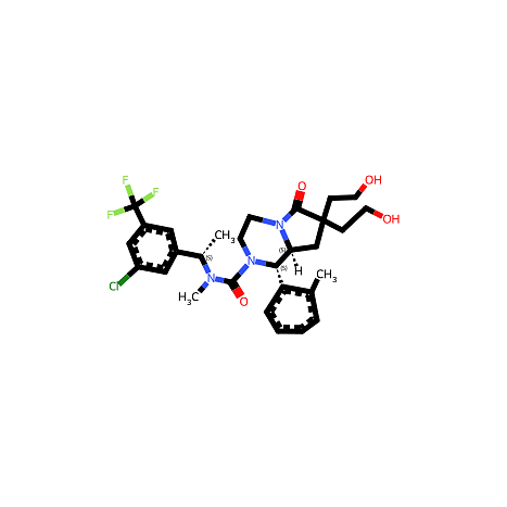 Cc1ccccc1[C@H]1[C@@H]2CC(CCO)(CCO)C(=O)N2CCN1C(=O)N(C)[C@@H](C)c1cc(Cl)cc(C(F)(F)F)c1